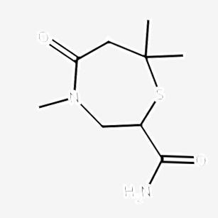 CN1CC(C(N)=O)SC(C)(C)[CH]C1=O